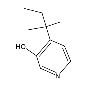 CCC(C)(C)c1ccncc1O